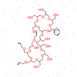 C=CCOCC(O)COC(COCC=C)COC(COCC=C)COC(CO)COC(CO)COC(CO)COC(CO)COC(CO)COC(CO)COC(CO)COC(CO)COC(CO)COCC1CC2C=CC1C2